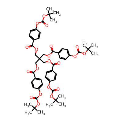 CC(C)(C)OC(=O)Oc1ccc(C(=O)OCC(COC(=O)c2ccc(OC(=O)OC(C)(C)C)cc2)(COC(=O)c2ccc(OC(=O)OC(C)(C)C)cc2)COC(=O)c2ccc(OC(=O)OC(C)(C)C)cc2)cc1